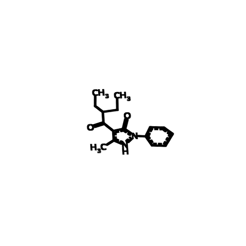 CCC(CC)C(=O)c1c(C)[nH]n(-c2ccccc2)c1=O